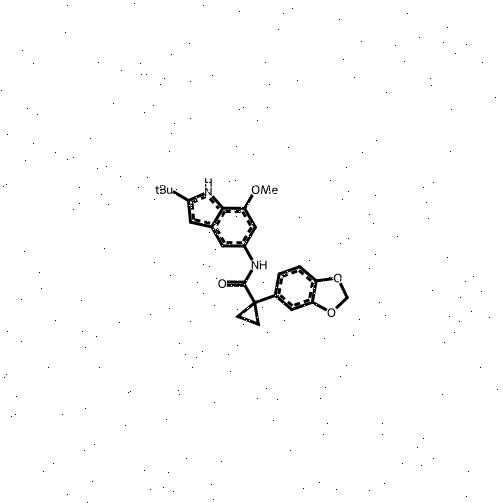 COc1cc(NC(=O)C2(c3ccc4c(c3)OCO4)CC2)cc2cc(C(C)(C)C)[nH]c12